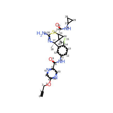 C#CCOc1cnc(C(=O)Nc2ccc(F)c([C@@]3(C)N=C(N)S[C@@]4(C(=O)NC5CC5)C[C@H]43)c2)cn1